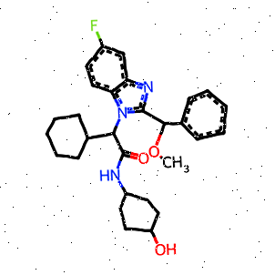 COC(c1ccccc1)c1nc2cc(F)ccc2n1C(C(=O)NC1CCC(O)CC1)C1CCCCC1